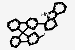 Ic1ccc2c(c1)C1(c3ccccc3-2)c2ccccc2-c2ccc(-c3cccc4c3[nH]c3ccccc34)cc21